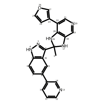 CC1(c2n[nH]c3ccc(-c4cccnc4)cc23)Nc2cncc(-c3ccoc3)c2N1